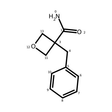 NC(=O)C1(Cc2ccccc2)COC1